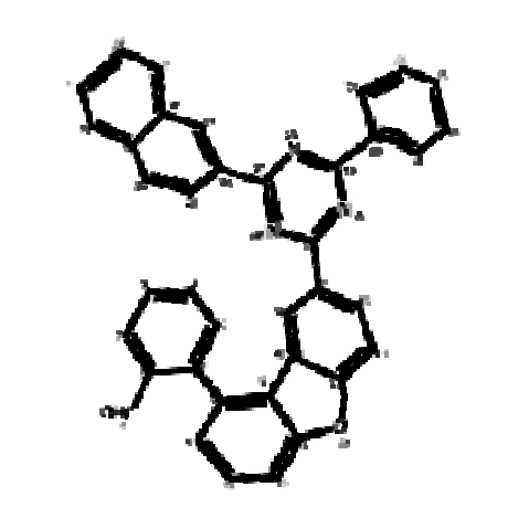 O=Cc1ccccc1-c1cccc2oc3ccc(-c4nc(-c5ccccc5)nc(-c5ccc6ccccc6c5)n4)cc3c12